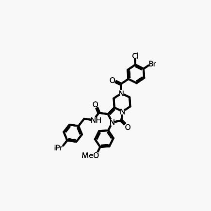 COc1ccc(-n2c(C(=O)NCc3ccc(C(C)C)cc3)c3n(c2=O)CCN(C(=O)c2ccc(Br)c(Cl)c2)C3)cc1